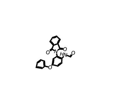 O=CNc1ccc(Oc2ccccc2)cc1N1C(=O)c2ccccc2C1=O